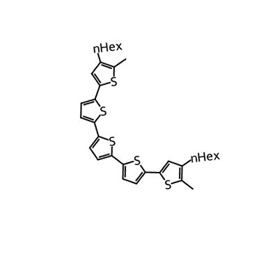 CCCCCCc1cc(-c2ccc(-c3ccc(-c4ccc(-c5cc(CCCCCC)c(C)s5)s4)s3)s2)sc1C